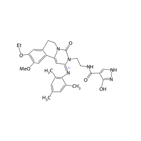 CCOc1cc2c(cc1OC)-c1c/c(=N\c3c(C)cc(C)cc3C)n(CCNC(=O)c3c[nH]nc3O)c(=O)n1CC2